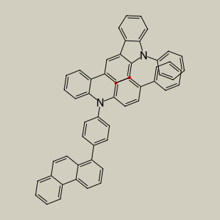 c1ccc(-c2ccc(N(c3ccc(-c4cccc5c4ccc4ccccc45)cc3)c3ccccc3-c3ccc4c(c3)c3ccccc3n4-c3ccccc3)cc2)cc1